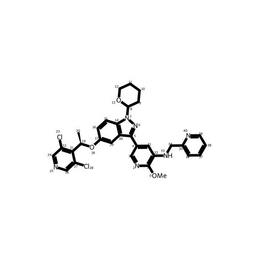 COc1ncc(-c2nn(C3CCCCO3)c3ccc(O[C@H](C)c4c(Cl)cncc4Cl)cc23)cc1NCc1ccccn1